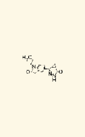 CCCN1C(=O)Cc2cc(C3=NNC(=O)C4CC34)ccc21